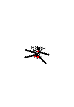 CCCCCCCCCCC(C)SC(SC(C)CCCCCCCCCC)C(SC(C)CCCCCCCCCC)(SC(C)CCCCCCCCCC)C(=O)O.OCC(CO)(CO)CO